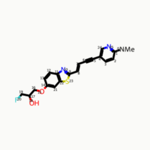 CNc1ccc(C#C/C=C/c2nc3ccc(OCC(O)CF)cc3s2)cn1